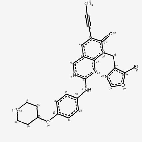 CC#Cc1cc2cnc(Nc3ccc(OC4CCNCC4)cc3)nc2n(Cc2ncoc2CC)c1=O